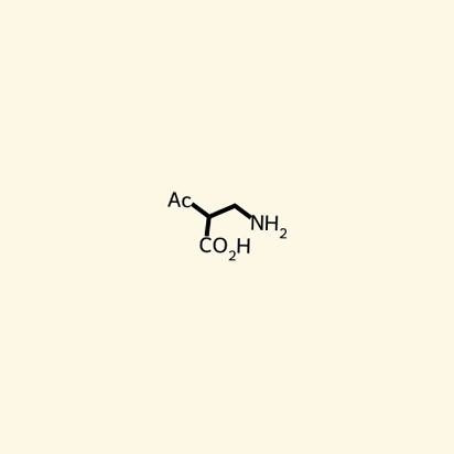 CC(=O)C(CN)C(=O)O